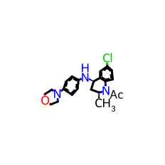 CC(=O)N1c2ccc(Cl)cc2[C@H](Nc2ccc(N3CCOCC3)cc2)C[C@@H]1C